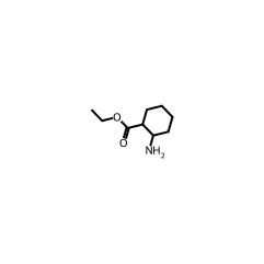 CCOC(=O)C1CCCCC1N